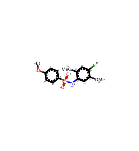 CCOc1ccc(S(=O)(=O)Nc2cc(OC)c(Br)cc2OC)cc1